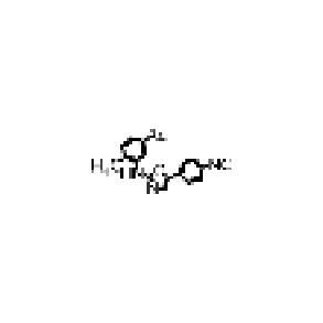 [C-]#[N+]c1ccc(-c2cnc(Nc3cc(C(C)=O)ccc3C)o2)cc1